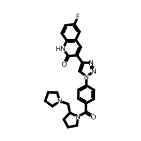 O=C(c1ccc(-n2cc(-c3cc4cc(F)ccc4[nH]c3=O)nn2)cc1)N1CCCC1CN1CCCC1